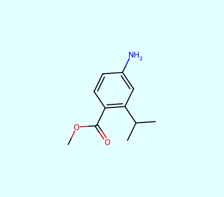 COC(=O)c1ccc(N)cc1C(C)C